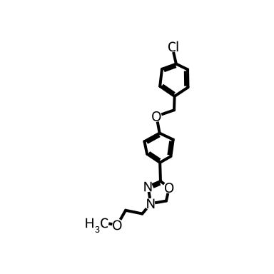 COCCN1COC(c2ccc(OCc3ccc(Cl)cc3)cc2)=N1